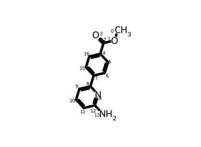 COC(=O)c1ccc(-c2cccc(N)n2)cc1